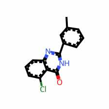 Cc1cccc(-c2nc3cccc(Cl)c3c(=O)[nH]2)c1